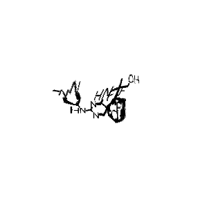 Cn1cc(NC2N=CC(Cl)(C(F)(F)F)C(NC(C)(CO)c3ccccc3)=N2)cn1